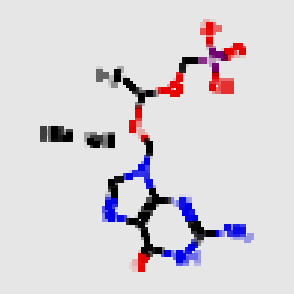 CC(OCn1cnc2c(=O)[nH]c(N)nc21)OCP(=O)(O)O.[NaH].[NaH]